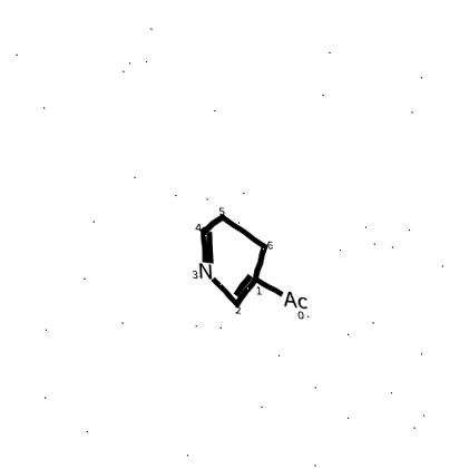 CC(=O)C1=CN=CCC1